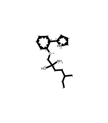 CCC(C)CCC(N)(O)COc1ccccc1-c1ccc[nH]1